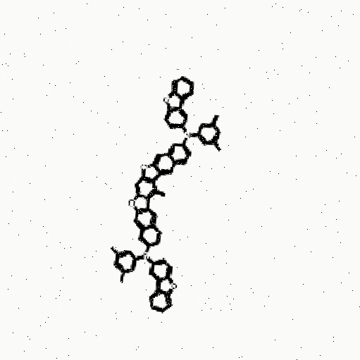 Cc1cc(C)cc(N(c2ccc3cc4c(cc3c2)oc2cc3oc5cc6cc(N(c7cc(C)cc(C)c7)c7ccc8oc9ccccc9c8c7)ccc6cc5c3c(C)c24)c2ccc3oc4ccccc4c3c2)c1